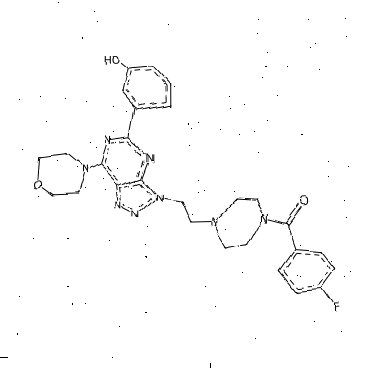 O=C(c1ccc(F)cc1)N1CCN(CCn2nnc3c(N4CCOCC4)nc(-c4cccc(O)c4)nc32)CC1